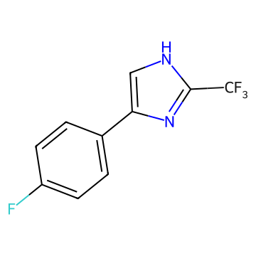 Fc1ccc(-c2c[nH]c(C(F)(F)F)n2)cc1